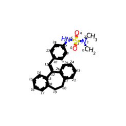 CN(C)S(=O)(=O)Nc1ccc(C=C2c3ccccc3CCc3ccccc32)cc1